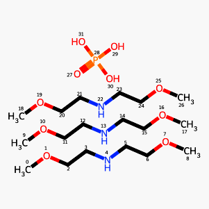 COCCNCCOC.COCCNCCOC.COCCNCCOC.O=P(O)(O)O